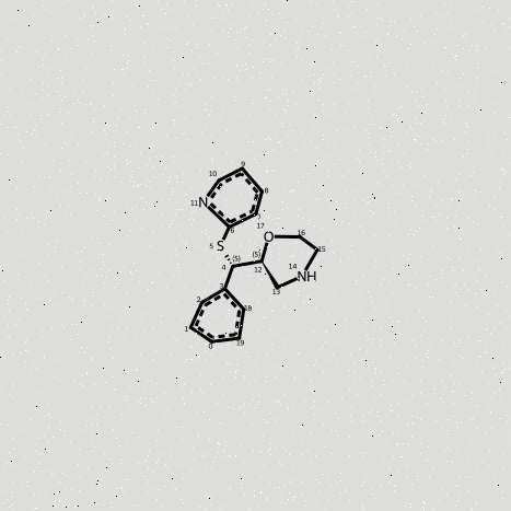 c1ccc([C@H](Sc2ccccn2)[C@@H]2CNCCO2)cc1